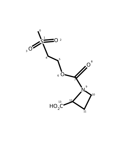 CS(=O)(=O)CCOC(=O)N1CCC1C(=O)O